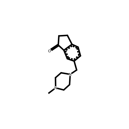 CN1CCN(Cc2ccc3c(c2)C(=O)CC3)CC1